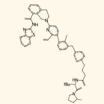 C=Cc1nc(N2CCc3cccc(C(=C)Nc4nc5ccccc5s4)c3C2)ccc1-c1cccc(Cc2ccc(CCCC(=C)NC(C(=C)N3CCCC3C)C(C)(C)C)cc2)c1C